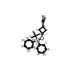 CC(C)(C)[Si](OC1CC(C#N)C1)(c1ccccc1)c1ccccc1